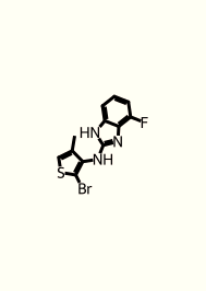 Cc1csc(Br)c1Nc1nc2c(F)cccc2[nH]1